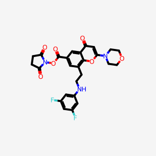 O=C(ON1C(=O)CCC1=O)c1cc(CCNc2cc(F)cc(F)c2)c2oc(N3CCOCC3)cc(=O)c2c1